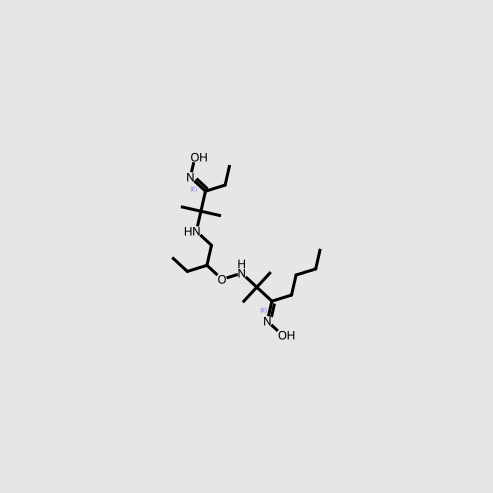 CCCC/C(=N\O)C(C)(C)NOC(CC)CNC(C)(C)/C(CC)=N/O